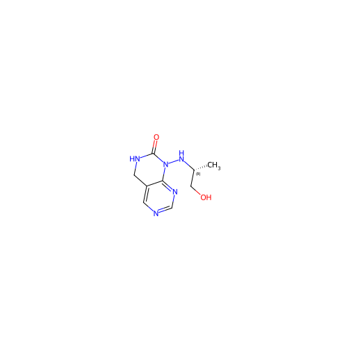 C[C@H](CO)NN1C(=O)NCc2cncnc21